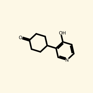 O=C1CCC(c2cnccc2O)CC1